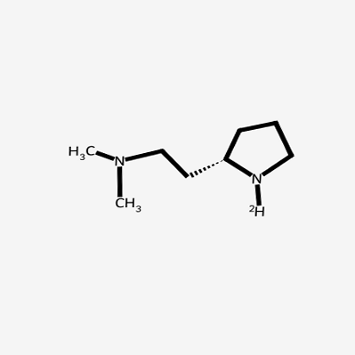 [2H]N1CCC[C@H]1CCN(C)C